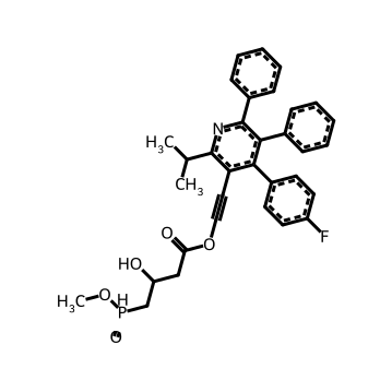 CO[PH](=O)CC(O)CC(=O)OC#Cc1c(C(C)C)nc(-c2ccccc2)c(-c2ccccc2)c1-c1ccc(F)cc1